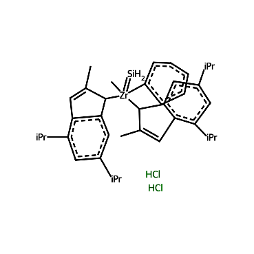 CC1=Cc2c(C(C)C)cc(C(C)C)cc2[CH]1[Zr]([CH3])(=[SiH2])([c]1ccccc1)[CH]1C(C)=Cc2c(C(C)C)cc(C(C)C)cc21.Cl.Cl